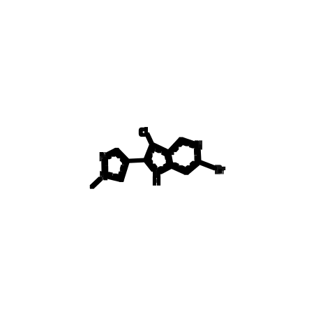 Cn1cc(-c2[nH]c3cc(Br)ncc3c2Cl)cn1